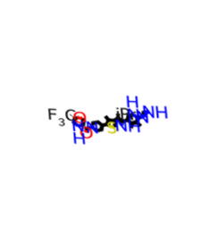 Cc1c(-c2[nH]c3sc(C4CCN(C(=O)[C@H]5CO[C@@H](C(F)(F)F)CN5)CC4)c(C)c3c2C(C)C)c[nH]/c(=N\C=N)c1C